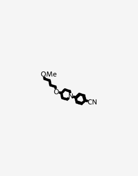 COCCCCOC1CCN(c2ccc(C#N)cc2)CC1